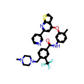 Cc1ccc(NC(=O)c2ccc(CN3CCN(C)CC3)c(C(F)(F)F)c2)cc1Oc1cc(-c2cccnc2)nc2sccc12